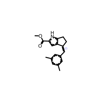 COC(=O)c1cc2c([nH]1)CC/C2=C/c1cc(C)cc(C)c1